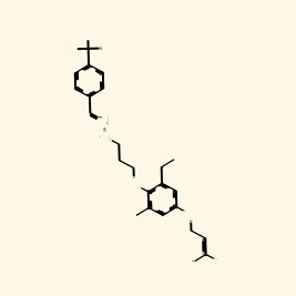 CCc1cc(OCC=C(Cl)Cl)cc(C)c1OCCCO/N=C/c1ccc(C(F)(F)F)cc1